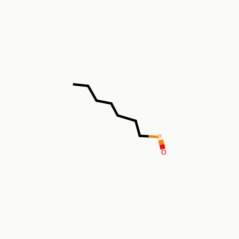 CCCCCCCP=O